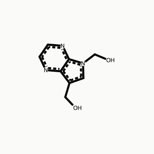 OCc1cn(CO)c2nccnc12